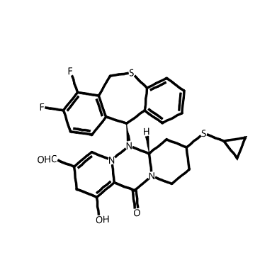 O=CC1=CN2C(=C(O)C1)C(=O)N1CCC(SC3CC3)C[C@H]1N2[C@@H]1c2ccccc2SCc2c1ccc(F)c2F